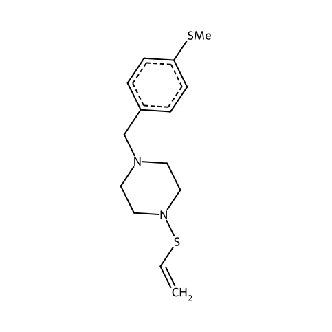 C=CSN1CCN(Cc2ccc(SC)cc2)CC1